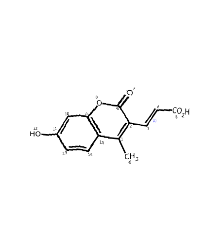 Cc1c(/C=C/C(=O)O)c(=O)oc2cc(O)ccc12